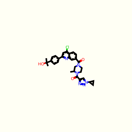 CC1CN(C(=O)c2ccc3c(Cl)cc(-c4ccc(C(C)(C)O)cc4)nc3c2)CCN1C(=O)c1cn(C2CC2)nn1